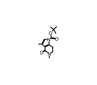 Cc1cn(C(=O)OC(C)(C)C)c2c1C(=O)N(C)CC2